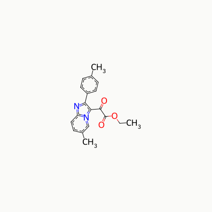 CCOC(=O)C(=O)c1c(-c2ccc(C)cc2)nc2ccc(C)cn12